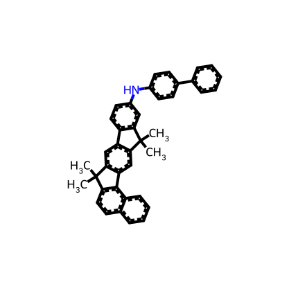 CC1(C)c2cc(Nc3ccc(-c4ccccc4)cc3)ccc2-c2cc3c(cc21)-c1c(ccc2ccccc12)C3(C)C